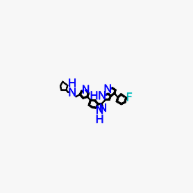 Fc1cccc(-c2ccnc3[nH]c(-c4n[nH]c5ccc(-c6cncc(CNCC7CCCC7)c6)cc45)cc23)c1